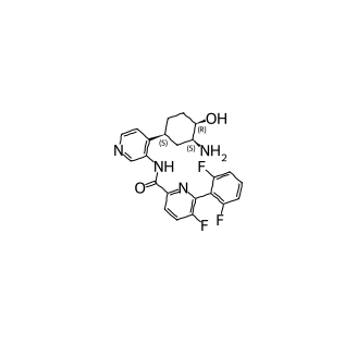 N[C@H]1C[C@@H](c2ccncc2NC(=O)c2ccc(F)c(-c3c(F)cccc3F)n2)CC[C@H]1O